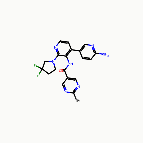 CC(C)c1ncc(C(=O)Nc2c(-c3ccc(N)nc3)ccnc2N2CCC(F)(F)C2)cn1